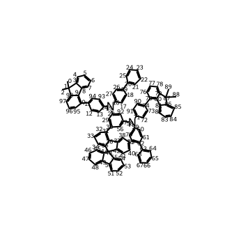 CC1(C)c2ccccc2-c2c(-c3ccc(N(c4ccc(-c5ccccc5)cc4)c4cc(-c5cccc6c5-c5ccccc5C65c6ccccc6-c6ccccc65)cc(N(c5ccc(-c6ccccc6)cc5)c5ccc(-c6cccc7c6-c6ccccc6C7(C)C)cc5)c4)cc3)cccc21